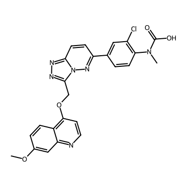 COc1ccc2c(OCc3nnc4ccc(-c5ccc(N(C)C(=O)O)c(Cl)c5)nn34)ccnc2c1